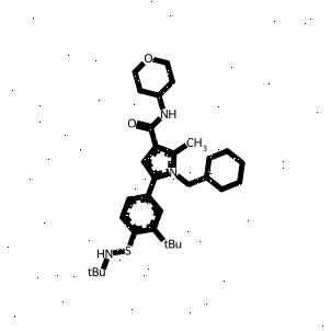 Cc1c(C(=O)NC2CCOCC2)cc(-c2ccc(SNC(C)(C)C)c(C(C)(C)C)c2)n1CC1CCCCC1